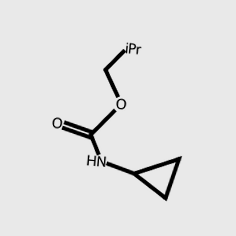 CC(C)COC(=O)NC1CC1